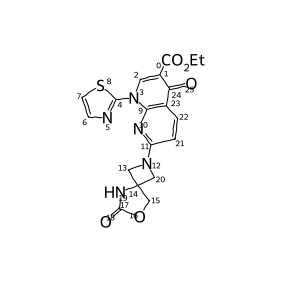 CCOC(=O)c1cn(-c2nccs2)c2nc(N3CC4(COC(=O)N4)C3)ccc2c1=O